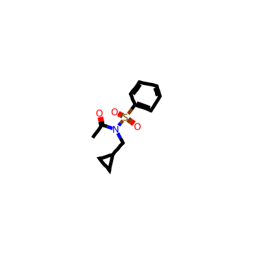 CC(=O)N(CC1CC1)S(=O)(=O)c1ccccc1